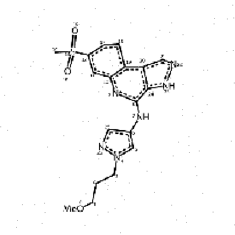 COCCCn1cc(Nc2nc3cc(S(C)(=O)=O)ccc3c3cn[nH]c23)cn1